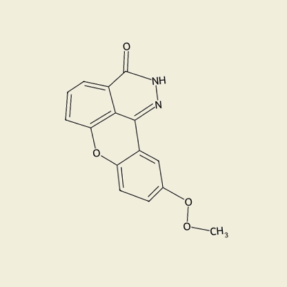 COOc1ccc2c(c1)-c1n[nH]c(=O)c3cccc(c13)O2